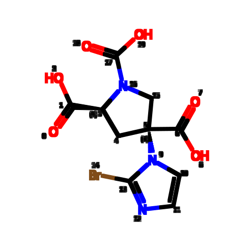 O=C(O)[C@@H]1C[C@@](C(=O)O)(n2ccnc2Br)CN1C(=O)O